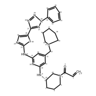 C=CC(=O)N1CCC[C@H](Nc2cc(CN3CCCCC3)cc(Nc3ncc(-c4nnn(-c5ccccc5)n4)s3)n2)C1